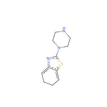 C1=c2nc(N3CCNCC3)sc2=CCC1